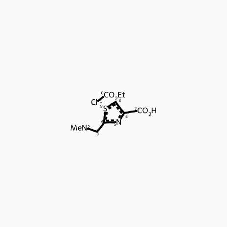 CCOC(=O)Cl.CNCc1nc(C(=O)O)cs1